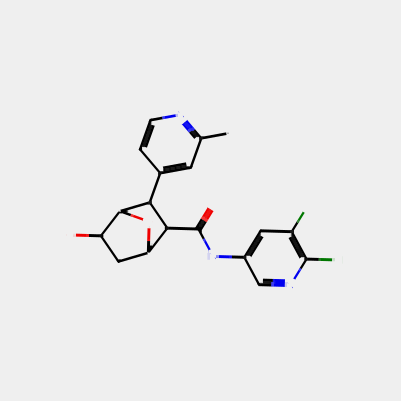 Cc1cc(C2C3OC(CC3O)C2C(=O)Nc2cnc(Cl)c(Cl)c2)ccn1